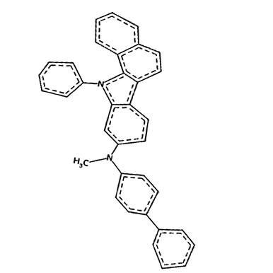 CN(c1ccc(-c2ccccc2)cc1)c1ccc2c3ccc4ccccc4c3n(-c3ccccc3)c2c1